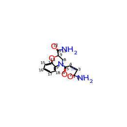 NC(=O)/C=C\C(=O)N1CC(C(N)=O)Oc2ccccc21